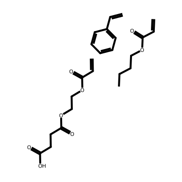 C=CC(=O)OCCCC.C=CC(=O)OCCOC(=O)CCC(=O)O.C=Cc1ccccc1